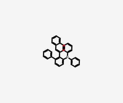 c1ccc(-c2cccc(P(c3ccccc3)c3ccccc3)c2-c2ccc3ccccc3c2)cc1